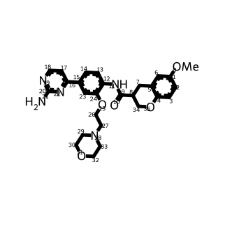 COc1ccc2c(c1)CC(C(=O)Nc1ccc(-c3ccnc(N)n3)cc1OCCN1CCOCC1)CO2